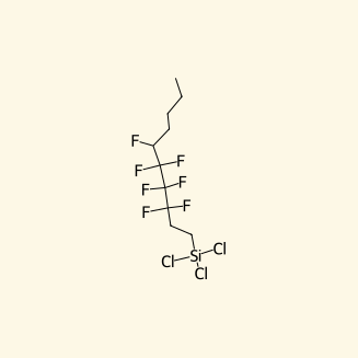 CCCCC(F)C(F)(F)C(F)(F)C(F)(F)CC[Si](Cl)(Cl)Cl